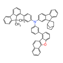 CC1(C)c2ccccc2-c2cccc(-c3ccc(N(c4cccc(-c5cccc6oc7c8ccccc8ccc7c56)c4)c4ccc5c(c4)C4(CC6CCC4C6)c4ccccc4-5)cc3)c21